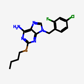 CCCCSc1nc(N)c2ncn(Cc3ccc(Cl)cc3F)c2n1